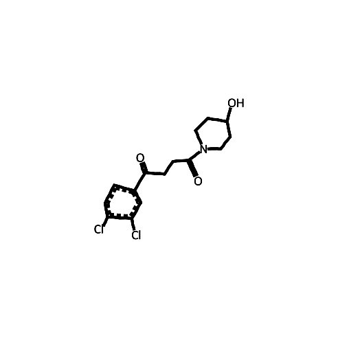 O=C(CCC(=O)N1CCC(O)CC1)c1ccc(Cl)c(Cl)c1